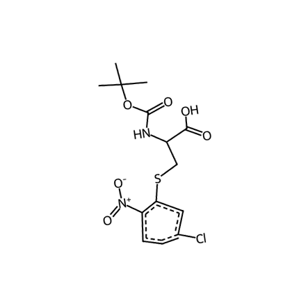 CC(C)(C)OC(=O)NC(CSc1cc(Cl)ccc1[N+](=O)[O-])C(=O)O